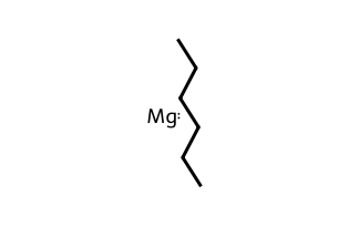 CCCCCC.[Mg]